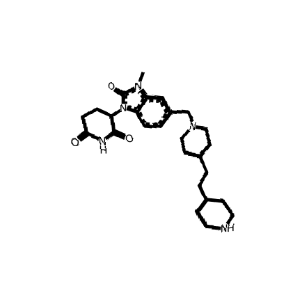 Cn1c(=O)n(C2CCC(=O)NC2=O)c2ccc(CN3CCC(CCC4CCNCC4)CC3)cc21